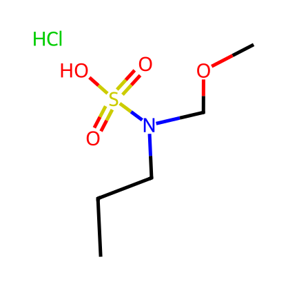 CCCN(COC)S(=O)(=O)O.Cl